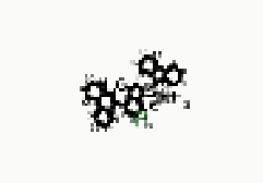 CC1=C[CH]([Zr+2]([CH]2c3ccccc3-c3ccccc32)=[Si](C)C)c2cccc(-c3cc4ccccc4c4ccccc34)c21.[Cl-].[Cl-]